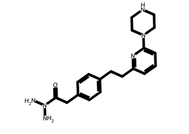 NN(N)C(=O)Cc1ccc(CCc2cccc(N3CCNCC3)n2)cc1